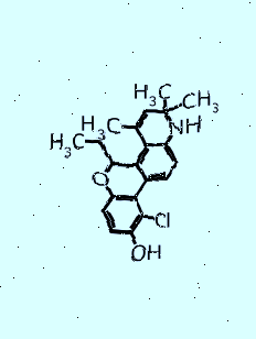 CCC1Oc2ccc(O)c(Cl)c2-c2ccc3c(c21)C(C)=CC(C)(C)N3